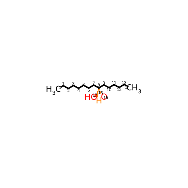 CCCCCCCCC(CCCCCC)[PH](=O)O